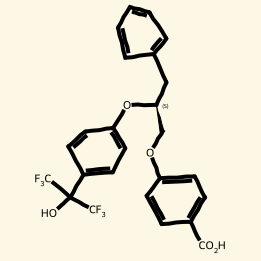 O=C(O)c1ccc(OC[C@H](Cc2ccccc2)Oc2ccc(C(O)(C(F)(F)F)C(F)(F)F)cc2)cc1